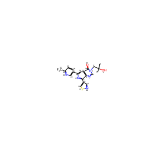 CC(C)(O)Cn1cnc2c(-c3cnsc3)nc(-c3ccc(C(F)(F)F)nc3)cc2c1=O